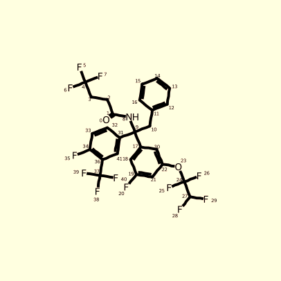 O=C(CCC(F)(F)F)NC(Cc1ccccc1)(c1cc(F)cc(OC(F)(F)C(F)F)c1)c1ccc(F)c(C(F)(F)F)c1